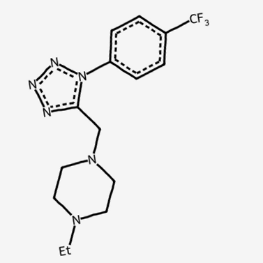 CCN1CCN(Cc2nnnn2-c2ccc(C(F)(F)F)cc2)CC1